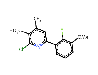 COc1cccc(-c2cc(C(F)(F)F)c(C(=O)O)c(Cl)n2)c1F